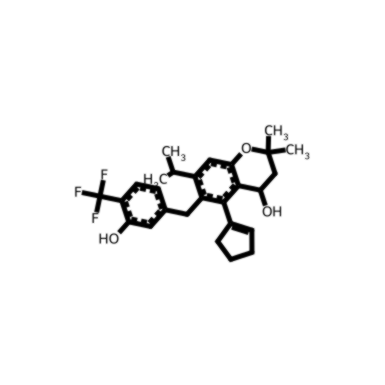 CC(C)c1cc2c(c(C3=CCCC3)c1Cc1ccc(C(F)(F)F)c(O)c1)C(O)CC(C)(C)O2